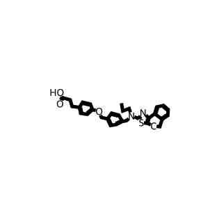 CCCN(Cc1ccc(COc2ccc(CCC(=O)O)cc2)cc1)c1nc2c(s1)CCc1ccccc1-2